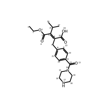 CCOC(=O)C(=C(Cc1ccc(C(=O)N2CCNCC2)cc1)C(=O)O)C(C)C